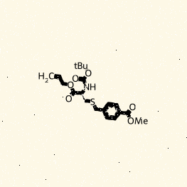 C=CCOC(=O)[C@@H](CSCc1ccc(C(=O)OC)cc1)NC(=O)OC(C)(C)C